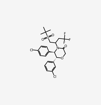 CC(C)(C)S(=O)(=O)CC(CC(F)(F)F)N1C(=O)CO[C@H](c2cccc(Cl)c2)[C@H]1c1ccc(Cl)cc1